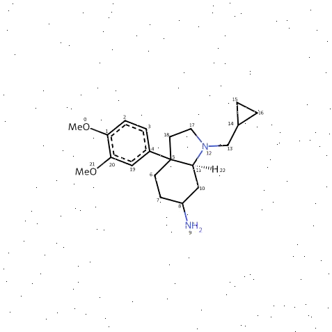 COc1ccc(C23CCC(N)C[C@@H]2N(CC2CC2)CC3)cc1OC